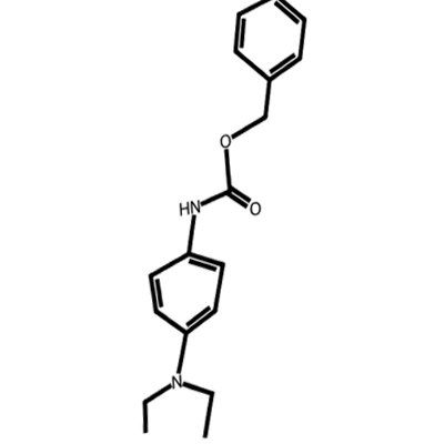 CCN(CC)c1ccc(NC(=O)OCc2ccccc2)cc1